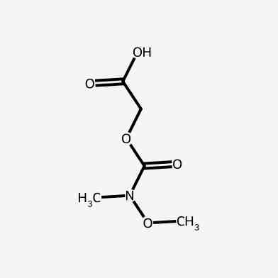 CON(C)C(=O)OCC(=O)O